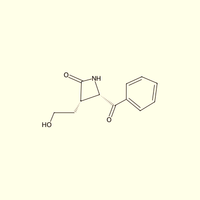 O=C1N[C@H](C(=O)c2ccccc2)[C@@H]1CCO